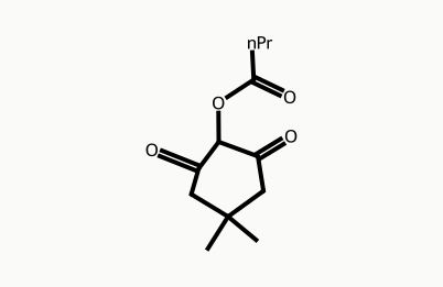 CCCC(=O)OC1C(=O)CC(C)(C)CC1=O